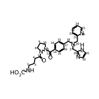 O=C(O)NCCCC(=O)N1CCCN1C(=O)c1ccc(CN(Cc2ccccn2)Cc2ncc[nH]2)cc1